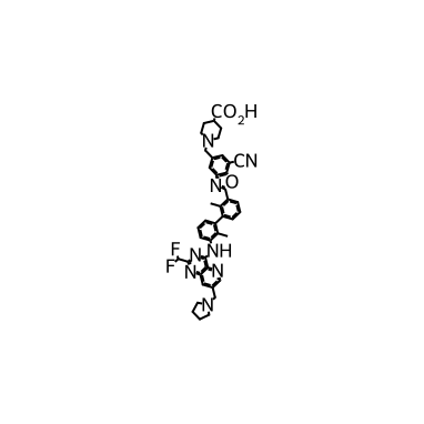 Cc1c(Nc2nc(C(F)F)nc3cc(CN4CCCC4)cnc23)cccc1-c1cccc(-c2nc3cc(CN4CCC(C(=O)O)CC4)cc(C#N)c3o2)c1C